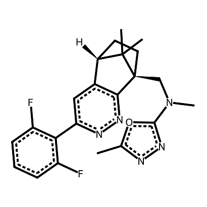 Cc1nnc(N(C)C[C@@]23CC[C@@H](c4cc(-c5c(F)cccc5F)nnc42)C3(C)C)o1